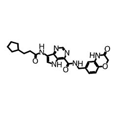 O=C1COc2ccc(CNC(=O)c3ncnc4c(NC(=O)CCC5CCCC5)c[nH]c34)cc2N1